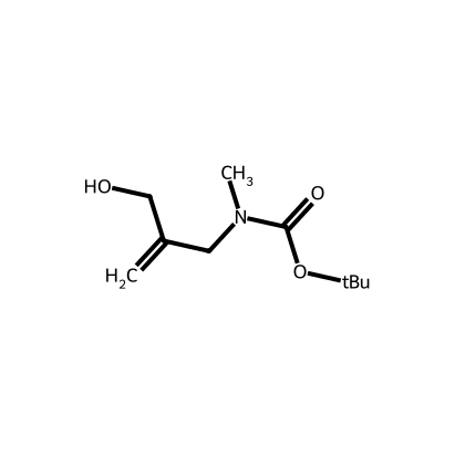 C=C(CO)CN(C)C(=O)OC(C)(C)C